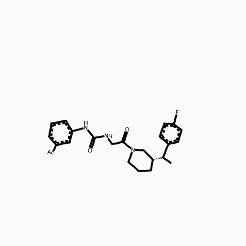 CC(=O)c1cccc(NC(=O)NCC(=O)N2CCC[C@@H](C(C)c3ccc(F)cc3)C2)c1